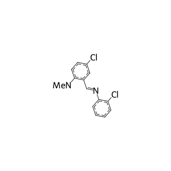 CNc1ccc(Cl)cc1/C=N/c1ccccc1Cl